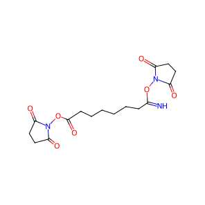 N=C(CCCCCCC(=O)ON1C(=O)CCC1=O)ON1C(=O)CCC1=O